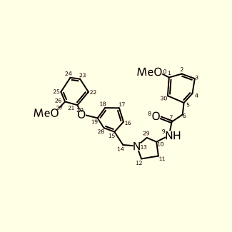 COc1cccc(CC(=O)NC2CCN(Cc3cccc(Oc4ccccc4OC)c3)C2)c1